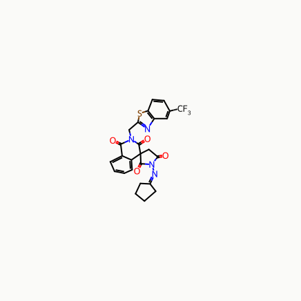 O=C1c2ccccc2C2(CC(=O)N(N=C3CCCC3)C2=O)C(=O)N1Cc1nc2cc(C(F)(F)F)ccc2s1